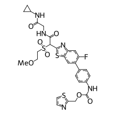 COCCS(=O)(=O)C(C(=O)NCC(=O)NC1CC1)c1nc2cc(F)c(-c3ccc(NC(=O)OCc4nccs4)cc3)cc2s1